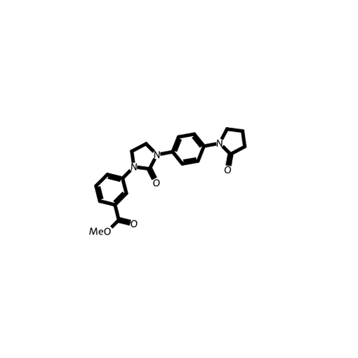 COC(=O)c1cccc(N2CCN(c3ccc(N4CCCC4=O)cc3)C2=O)c1